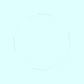 [CH]1C/C=C\C=C\CCC/C=C\C=C\C1